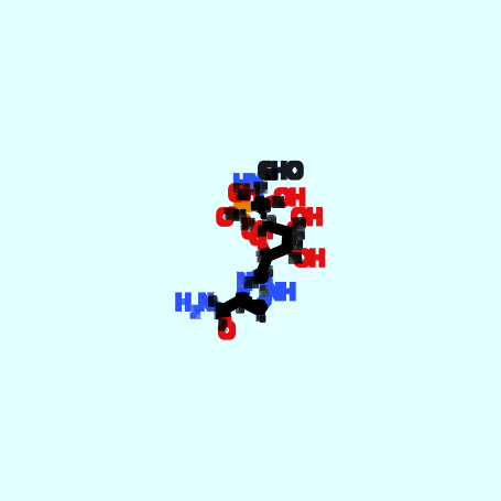 NC(=O)c1c[nH]c(C2O[C@H](C(O)(NC=O)P(=O)(O)O)[C@@H](O)[C@H]2O)n1